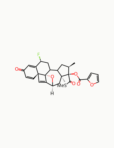 CSC(=O)[C@@]1(OC(=O)c2ccco2)[C@H](C)CC2C3C[C@H](F)C4=CC(=O)C=C[C@@]45C=C4[C@H](C[C@@]21C)O[C@@]435